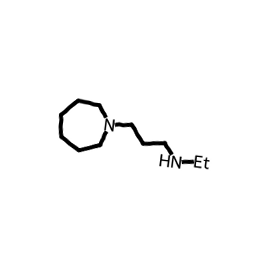 CCNCCCN1CCCCCC1